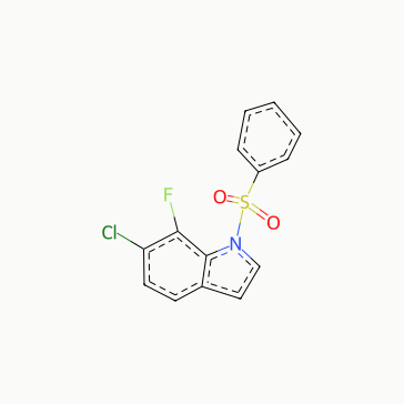 O=S(=O)(c1ccccc1)n1ccc2ccc(Cl)c(F)c21